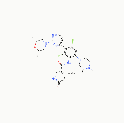 CC1CN(c2cc(F)c(-c3ccnc(N4C[C@@H](C)O[C@@H](C)C4)n3)c(F)c2NC(=O)c2c[nH]c(=O)cc2C(F)(F)F)CCN1C